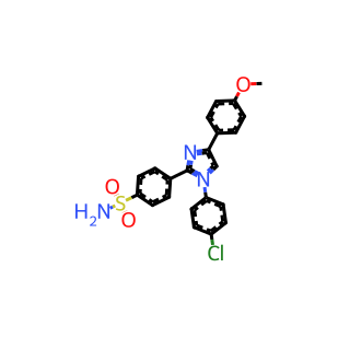 COc1ccc(-c2cn(-c3ccc(Cl)cc3)c(-c3ccc(S(N)(=O)=O)cc3)n2)cc1